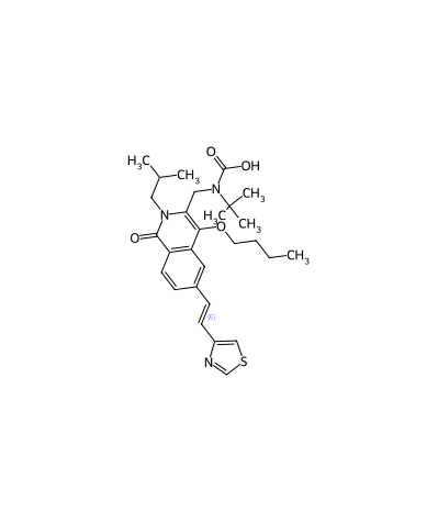 CCCCOc1c(CN(C(=O)O)C(C)(C)C)n(CC(C)C)c(=O)c2ccc(/C=C/c3cscn3)cc12